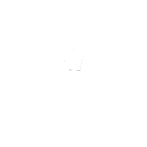 CC1NCCC1[Si](O)(O)O